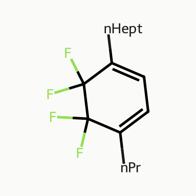 CCCCCCCC1=CC=C(CCC)C(F)(F)C1(F)F